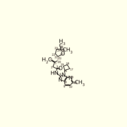 C=C(CC(=O)Nc1nc2ccc(C)nc2n1C1CCC1)C[C@@H]1CCC(C)(C)O1